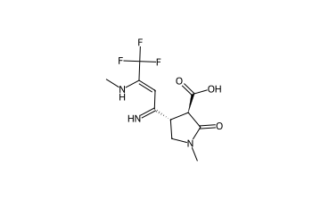 CN/C(=C\C(=N)[C@H]1CN(C)C(=O)[C@@H]1C(=O)O)C(F)(F)F